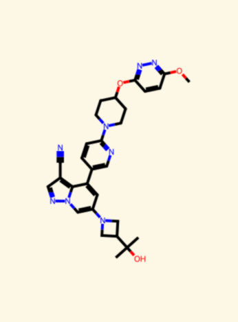 COc1ccc(OC2CCN(c3ccc(-c4cc(N5CC(C(C)(C)O)C5)cn5ncc(C#N)c45)cn3)CC2)nn1